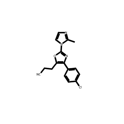 Cc1nccn1-c1nc(-c2ccc(Cl)cc2)c(CCC#N)o1